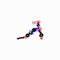 CCCCCCCOc1ccc(-c2cnc(-c3ccc(C[C@H](NC(=O)/C=C/c4ccc(OC)cc4)C(=O)N4CC(C(=O)O)C4)cc3)nc2)cc1